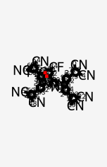 N#CC1=CC(C#N)CC(c2ccc3c(c2)c2cc(-c4cc(C#N)cc(C#N)c4)ccc2n3-c2cc(-c3cc(C(F)(F)F)cc(C(F)(F)F)c3)c(-n3c4ccc(-c5cc(C#N)cc(C#N)c5)cc4c4cc(-c5cc(C#N)cc(C#N)c5)ccc43)cn2)C1